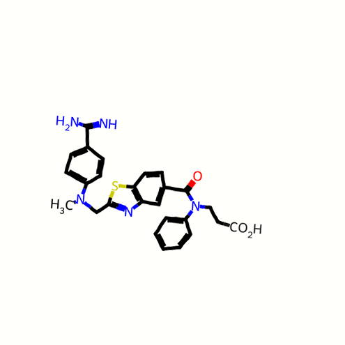 CN(Cc1nc2cc(C(=O)N(CCC(=O)O)c3ccccc3)ccc2s1)c1ccc(C(=N)N)cc1